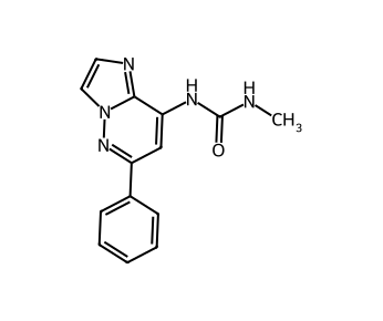 CNC(=O)Nc1cc(-c2ccccc2)nn2ccnc12